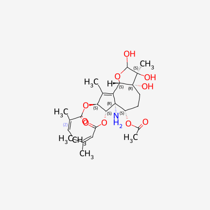 C/C=C(/C)C(=O)O[C@H]1C(C)=C2[C@@H]3OC(O)[C@@](C)(O)[C@@]3(O)CC[C@H](OC(C)=O)[C@@]2(N)[C@@H]1OC(=O)C=C(C)C